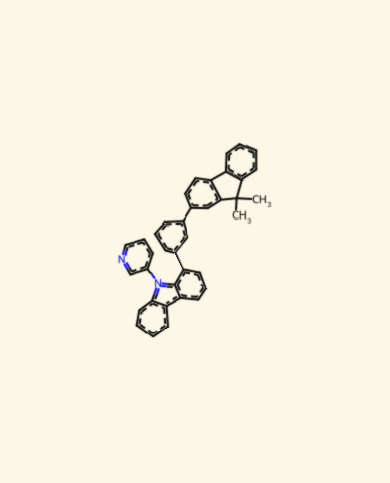 CC1(C)c2ccccc2-c2ccc(-c3cccc(-c4cccc5c6ccccc6n(-c6cccnc6)c45)c3)cc21